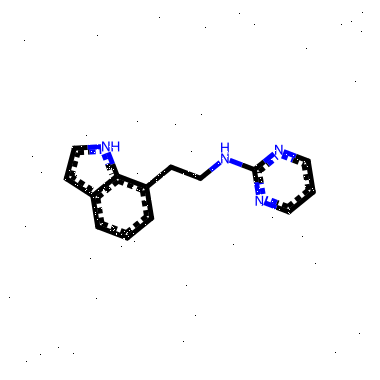 c1cnc(NCCc2cccc3cc[nH]c23)nc1